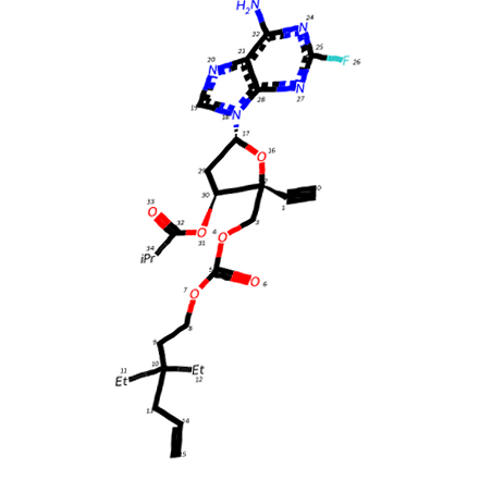 C#C[C@]1(COC(=O)OCCC(CC)(CC)CC=C)O[C@@H](n2cnc3c(N)nc(F)nc32)C[C@@H]1OC(=O)C(C)C